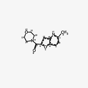 Cc1ccc2oc(C(=O)N3CCOCC3)cc2n1